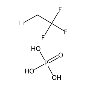 O=P(O)(O)O.[Li][CH2]C(F)(F)F